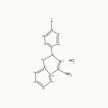 Cl.NC1=NC(c2ccc(F)cc2)Cc2ccccc21